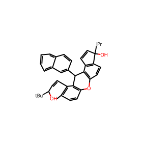 Cc1ccc2c(c1/C=C\C(O)C(C)(C)C)C(c1ccc3ccccc3c1)c1c(ccc3c1C=CC3(O)C(C)C)O2